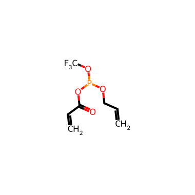 C=CCOP(OC(=O)C=C)OC(F)(F)F